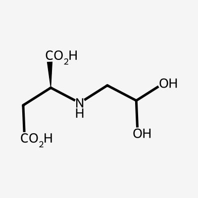 O=C(O)C[C@H](NCC(O)O)C(=O)O